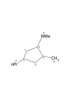 CCCC1CC(C)C(NC)C1